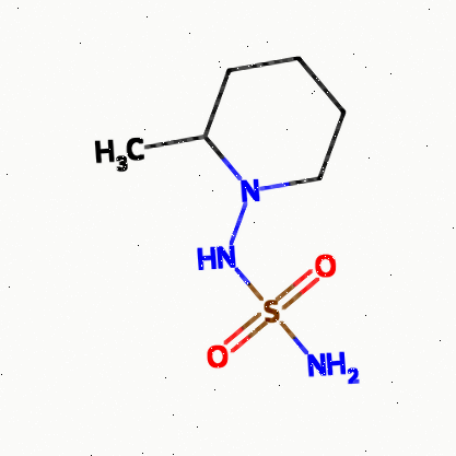 CC1CCCCN1NS(N)(=O)=O